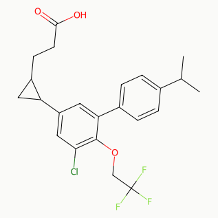 CC(C)c1ccc(-c2cc(C3CC3CCC(=O)O)cc(Cl)c2OCC(F)(F)F)cc1